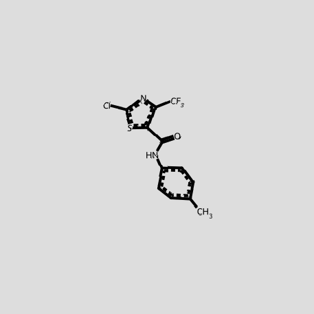 Cc1ccc(NC(=O)c2sc(Cl)nc2C(F)(F)F)cc1